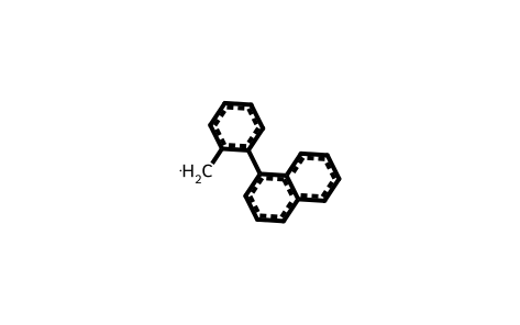 [CH2]c1ccccc1-c1cccc2ccccc12